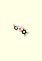 O=C1CC[C@@H](C(=O)Oc2cc(Cl)c(Cl)cc2Cl)N1